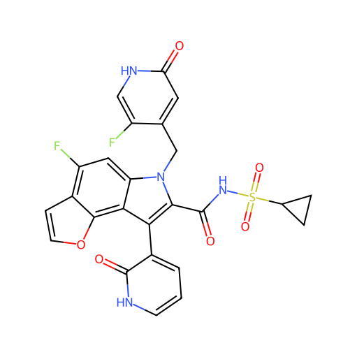 O=C(NS(=O)(=O)C1CC1)c1c(-c2ccc[nH]c2=O)c2c3occc3c(F)cc2n1Cc1cc(=O)[nH]cc1F